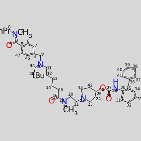 CCCN(C)C(=O)c1ccc(CN(CCCCCC(=O)N(C)CCN2CCC(OC(=O)Nc3ccccc3-c3ccccc3)CC2)CC(C)(C)C)cc1